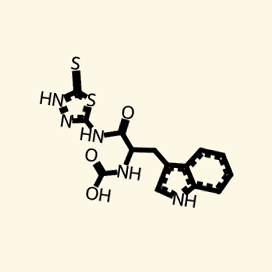 O=C(O)NC(Cc1c[nH]c2ccccc12)C(=O)Nc1n[nH]c(=S)s1